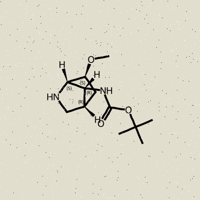 CO[C@H]1C[C@@H]2CN[C@H]1[C@@H]2NC(=O)OC(C)(C)C